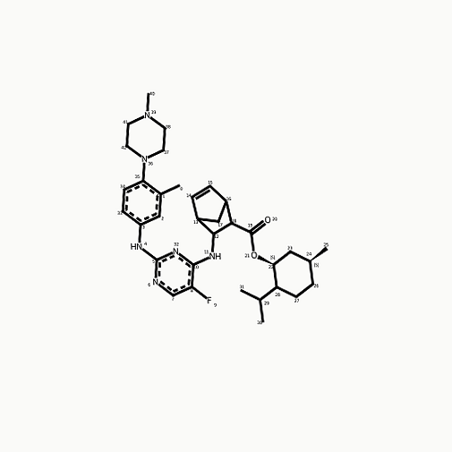 Cc1cc(Nc2ncc(F)c(NC3C4C=CC(C4)C3C(=O)O[C@H]3C[C@@H](C)CCC3C(C)C)n2)ccc1N1CCN(C)CC1